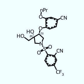 CCCOc1cc(C#N)ccc1O[C@H]1CN(S(=O)(=O)c2ccc(C(F)(F)F)cc2C#N)C[C@@]1(O)CO